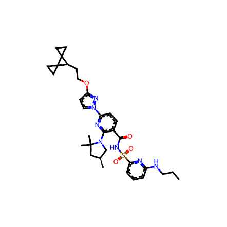 CCCNc1cccc(S(=O)(=O)NC(=O)c2ccc(-n3ccc(OCCC4C5(CC5)C45CC5)n3)nc2N2C[C@@H](C)CC2(C)C)n1